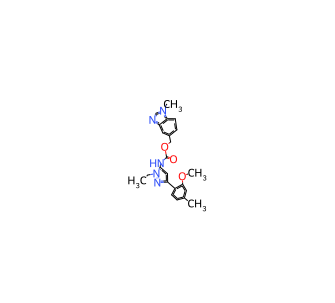 CCn1nc(-c2ccc(C)cc2OC)cc1NC(=O)OCc1ccc2c(c1)ncn2C